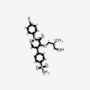 C[C@@H](CO)COc1c(-c2ccc(S(N)(=O)=O)cc2)cnn(-c2ccc(F)cc2)c1=O